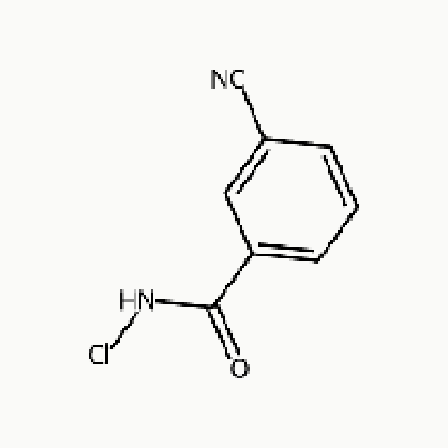 N#Cc1cccc(C(=O)NCl)c1